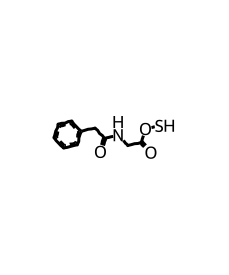 O=C(Cc1ccccc1)NCC(=O)OS